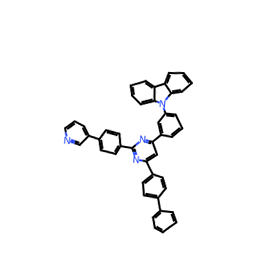 c1ccc(-c2ccc(-c3cc(-c4cccc(-n5c6ccccc6c6ccccc65)c4)nc(-c4ccc(-c5cccnc5)cc4)n3)cc2)cc1